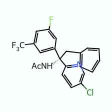 CC(=O)N[C@@](Cc1ccccc1)(c1cc(F)cc(C(F)(F)F)c1)c1ccc(Cl)cn1